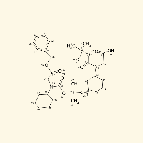 CC(C)(C)OC(=O)N(CC(=O)O)C1CCCCC1.CC(C)(C)OC(=O)N(CC(=O)OCc1ccccc1)C1CCCCC1